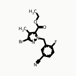 CCOC(=O)c1c(C)c(Br)nn1Cc1cc(C#N)ccc1F